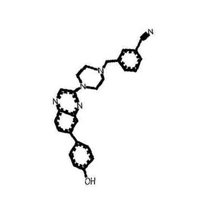 N#Cc1cccc(CN2CCN(c3cnc4ccc(-c5ccc(O)cc5)cc4n3)CC2)c1